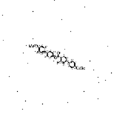 COc1ccc(-c2ccc(C(=O)Oc3ccc(-c4ccc(OC)c(F)c4)cc3)c(F)c2F)cc1